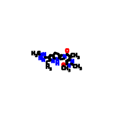 COc1cc([C@H](C)C(=O)N2CC[C@]3(CCc4cc(-c5nnn(C)n5)c(C)nc4N3)C2)nc(C)n1